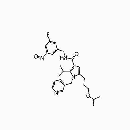 CC(C)OCCCc1cc(C(=O)NCc2cc(F)cc(N=O)c2)c(C(C)C)n1Cc1cccnc1